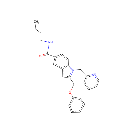 CCCCNC(=O)c1ccc2c(c1)cc(COc1ccccc1)n2Cc1ccccn1